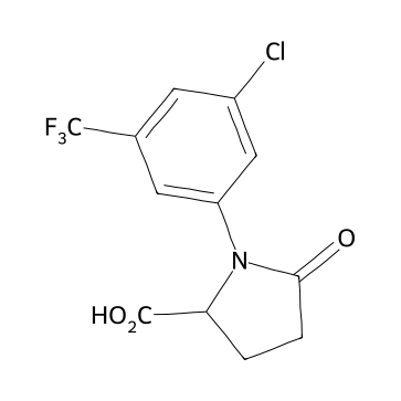 O=C(O)C1CCC(=O)N1c1cc(Cl)cc(C(F)(F)F)c1